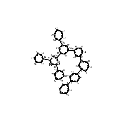 c1ccc(-c2ccc(-c3cccc(-c4cccc(-c5cc(-c6ccccc6)cc(-c6nc(-c7ccccc7)nc(-c7ccccc7)n6)c5)c4)c3)cc2)cc1